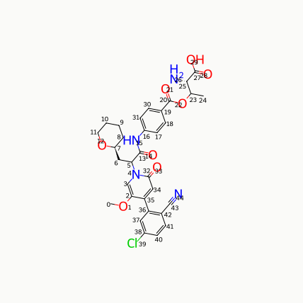 COc1cn(C(C[C@@H]2CCCCO2)C(=O)Nc2ccc(C(=O)OC(C)[C@H](N)C(=O)O)cc2)c(=O)cc1-c1cc(Cl)ccc1C#N